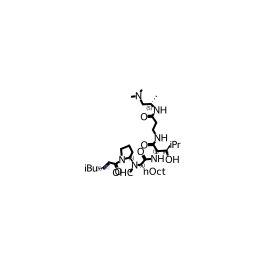 CCCCCCCC[C@@H](C(=O)N[C@H](C(=O)NCCC(=O)N[C@@H](C)CN(C)C)[C@H](O)C(C)C)N(C=O)[C@@H]1CCCN1C(=O)/C=C/[C@@H](C)CC